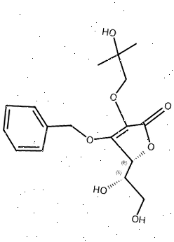 CC(C)(O)COC1=C(OCc2ccccc2)[C@@H]([C@@H](O)CO)OC1=O